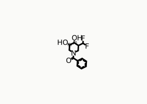 O=C(c1ccccc1)N1CC(C(F)F)[C@@H](O)[C@H](O)C1